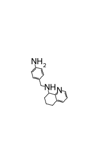 Nc1ccc(CNC2CCCc3cccnc32)cc1